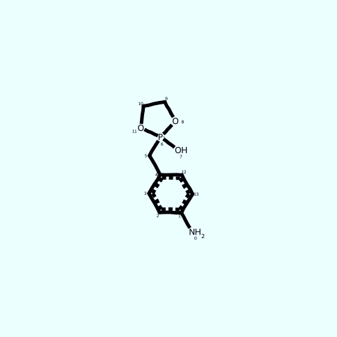 Nc1ccc(C[P]2(O)OCCO2)cc1